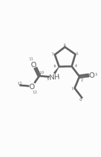 CCC(=O)C1CCC[C@@H]1NC(=O)OC